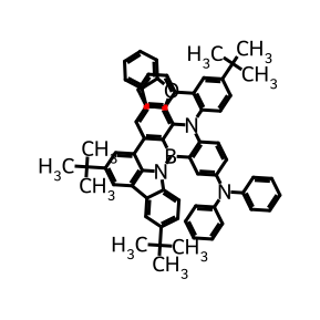 CC(C)(C)c1ccc(N2c3ccc(N(c4ccccc4)c4ccccc4)cc3B3c4c(cc5c(oc6ccccc65)c42)-c2cc(C(C)(C)C)cc4c5cc(C(C)(C)C)ccc5n3c24)c(-c2ccccc2)c1